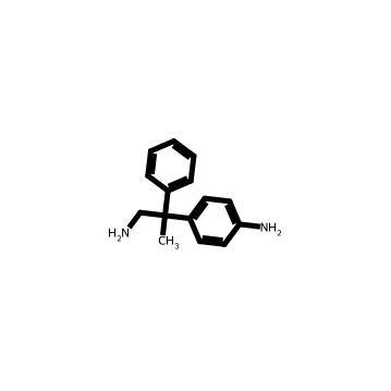 CC(CN)(c1ccccc1)c1ccc(N)cc1